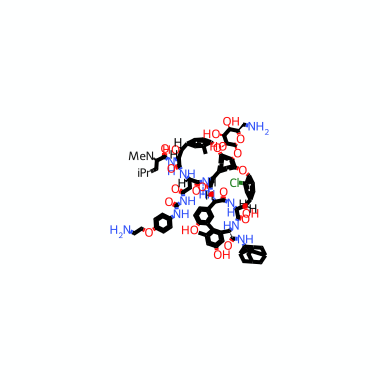 CN[C@H](CC(C)C)C(=O)N[C@H]1C(=O)N[C@@H](CC(=O)NC(=O)Nc2ccc(OCCN)cc2)C(=O)N[C@H]2C(=O)N[C@H]3C(=O)N[C@H](C(=O)N[C@H](C(=O)NC4C5CC6CC(C5)CC4C6)c4cc(O)cc(C)c4-c4cc3ccc4O)[C@H](O)c3ccc(c(Cl)c3)Oc3cc2cc(c3O[C@@H]2O[C@H](CN)[C@@H](O)[C@H](O)[C@H]2O)Oc2ccc(cc2C)[C@H]1O